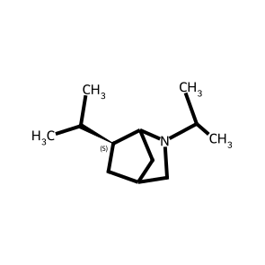 CC(C)[C@@H]1CC2CC1N(C(C)C)C2